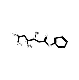 CC(C)C[C@H](N)[C@@H](O)CC(=O)Oc1ccccc1